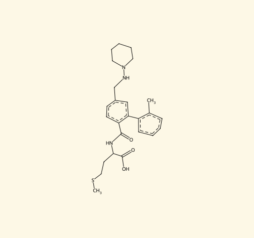 CSCCC(NC(=O)c1ccc(CNN2CCCCC2)cc1-c1ccccc1C)C(=O)O